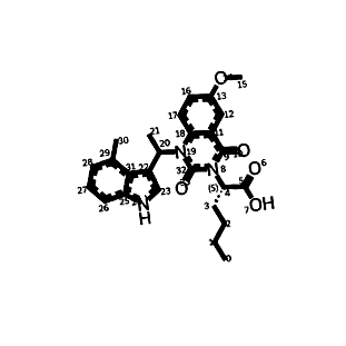 CCCC[C@@H](C(=O)O)n1c(=O)c2cc(OC)ccc2n(C(C)c2c[nH]c3cccc(C)c23)c1=O